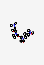 c1ccc(N(c2ccccc2)c2ccc3c(c2)C2(CCCCC2)c2cc(N(c4ccc(-c5ccc(N(c6ccc7c(c6)C6(CCCCC6)c6cc(N(c8ccccc8)c8ccccc8)ccc6-7)c6cccc7ccccc67)cc5)cc4)c4cccc5ccccc45)ccc2-3)cc1